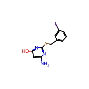 Nc1cc(O)nc(SCc2cccc(I)c2)n1